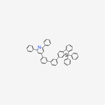 c1ccc(-c2cc(-c3cccc(-c4cccc(-c5ccc6c(c5)[Si](c5ccccc5)(c5ccccc5)c5ccccc5-6)c4)c3)cc(-c3ccccc3)n2)cc1